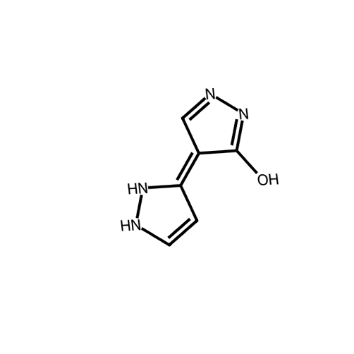 OC1=NN=CC1=C1C=CNN1